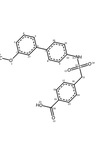 COc1cccc(-c2ccc(NS(=O)(=O)Cc3ccc(C(=O)O)cc3)cc2)c1